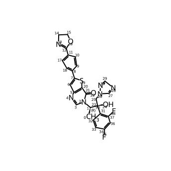 C[C@@H](n1cnc2cc(-c3ccc(C4=NCCO4)cc3)sc2c1=O)[C@](O)(Cn1cncn1)c1ccc(F)cc1F